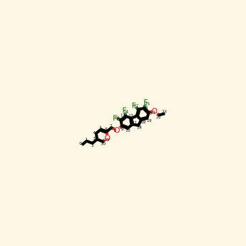 CCCC1CC=C(COc2cc3c(c(F)c2F)-c2c(cc(OCC)c(F)c2F)C3)OC1